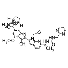 COc1cc(C(=O)N2[C@H]3CC[C@@H]2[C@H](N)C3)cc2nc(-c3cc4ccc([C@@H](C)NC(=O)NCc5ncccn5)nc4n3CC3CC3)c(C)n12